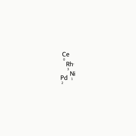 [Ce].[Ni].[Pd].[Rh]